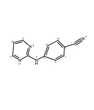 N#Cc1ccc(Nc2ncccn2)cc1